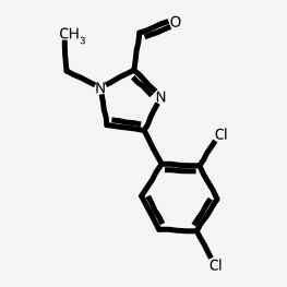 CCn1cc(-c2ccc(Cl)cc2Cl)nc1C=O